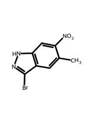 Cc1cc2c(Br)n[nH]c2cc1[N+](=O)[O-]